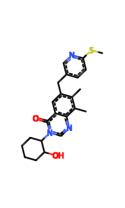 CSc1ccc(Cc2cc3c(=O)n(C4CCCCC4O)cnc3c(C)c2C)cn1